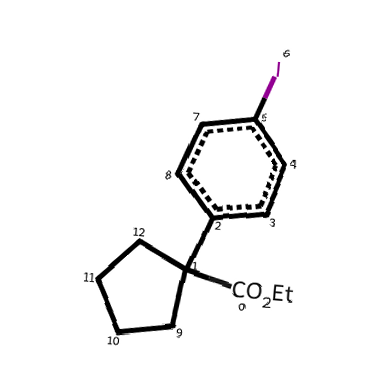 CCOC(=O)C1(c2ccc(I)cc2)CCCC1